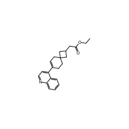 CCOC(=O)CC1CC2(CC=C(c3ccnc4ccccc34)CC2)C1